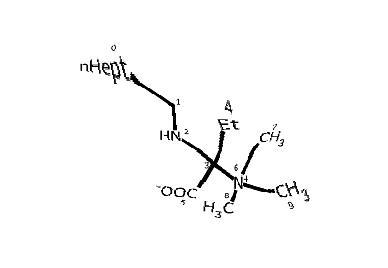 CCCCCCCCNC(CC)(C(=O)[O-])[N+](C)(C)C